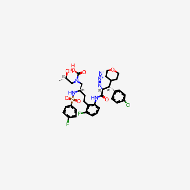 C[C@H](O)CN(C[C@@H](CCc1c(F)cccc1NC(=O)[C@@H](N=[N+]=[N-])[C@@H](c1ccc(Cl)cc1)C1CCOCC1)NS(=O)(=O)c1ccc(F)cc1)C(=O)O